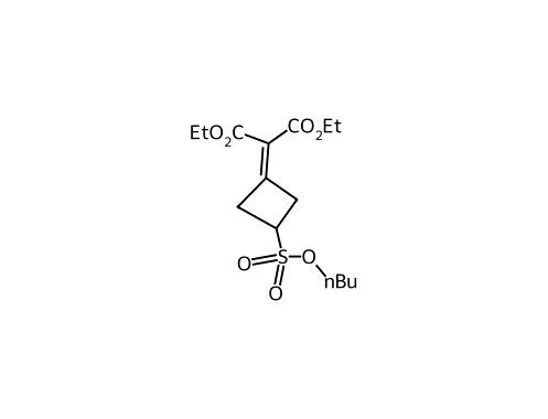 CCCCOS(=O)(=O)C1CC(=C(C(=O)OCC)C(=O)OCC)C1